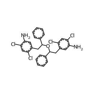 Nc1cc(CC(OC(Cc2cc(N)c(Cl)cc2Cl)c2ccccc2)c2ccccc2)c(Cl)cc1Cl